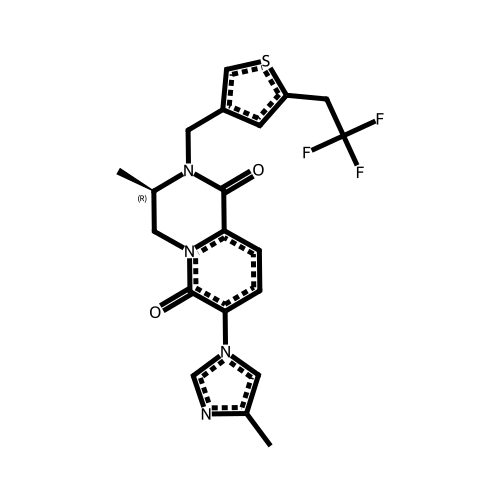 Cc1cn(-c2ccc3n(c2=O)C[C@@H](C)N(Cc2csc(CC(F)(F)F)c2)C3=O)cn1